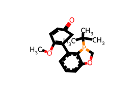 COC1=C(c2cccc3c2P(C(C)(C)C)CO3)CC(=O)C=C1